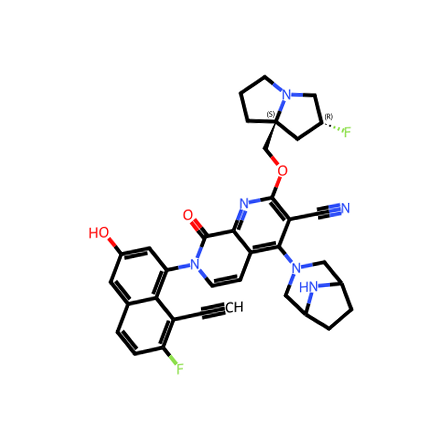 C#Cc1c(F)ccc2cc(O)cc(-n3ccc4c(N5CC6CCC(C5)N6)c(C#N)c(OC[C@@]56CCCN5C[C@H](F)C6)nc4c3=O)c12